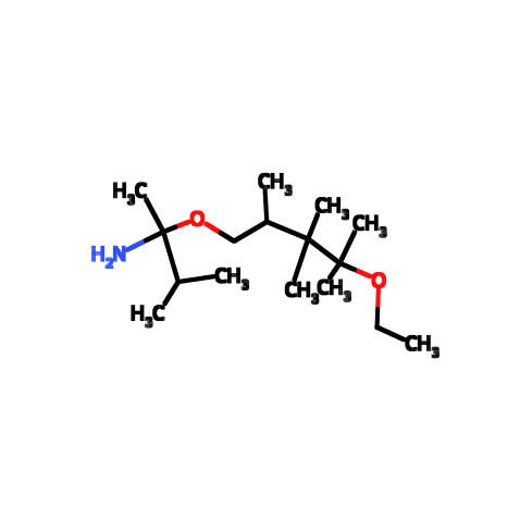 CCOC(C)(C)C(C)(C)C(C)COC(C)(N)C(C)C